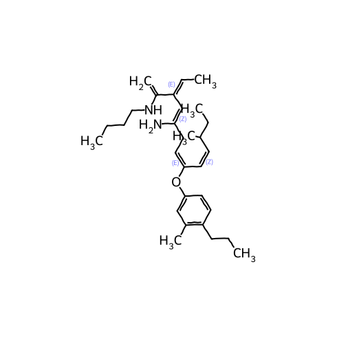 C=C(NCCCC)C(/C=C(\N)C/C=C(\C=C/C(C)CC)Oc1ccc(CCC)c(C)c1)=C/C